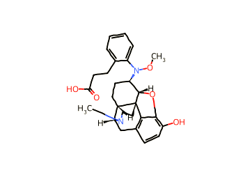 CON(c1ccccc1CCC(=O)O)[C@@H]1CC[C@H]2[C@H]3Cc4ccc(O)c5c4[C@@]2(CCN3C)[C@H]1O5